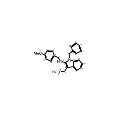 COc1ccc(CNc2c(CC(=O)O)c3ccccc3n2Cc2ccccc2)cc1